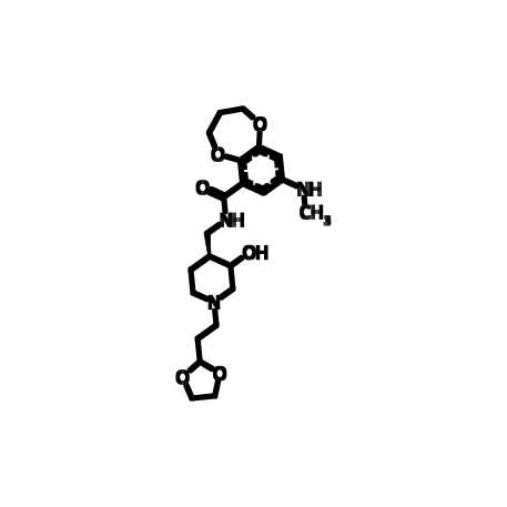 CNc1cc2c(c(C(=O)NC[C@@H]3CCN(CCC4OCCO4)CC3O)c1)OCCCO2